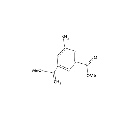 C=C(OC)c1cc(N)cc(C(=O)OC)c1